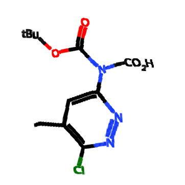 Cc1cc(N(C(=O)O)C(=O)OC(C)(C)C)nnc1Cl